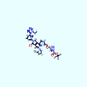 CCn1cnnc1-c1cccc(N2Cc3c(cc(N4CCC[C@H]4C)nc3CN(C)CCOCCNC(=O)OC(C)(C)C)C2=O)n1